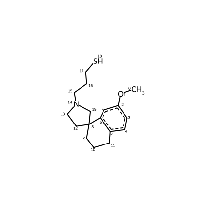 COc1ccc2c(c1)C1(CCC2)CCN(CCCS)C1